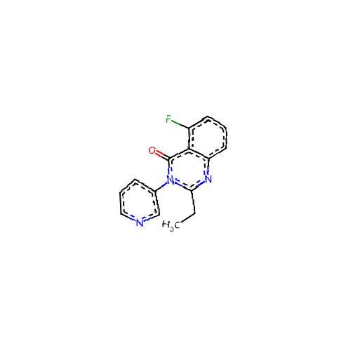 CCc1nc2cccc(F)c2c(=O)n1-c1cccnc1